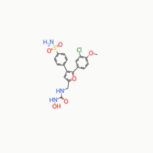 COc1ccc(-c2oc(CNC(=O)NO)cc2-c2ccc(S(N)(=O)=O)cc2)cc1Cl